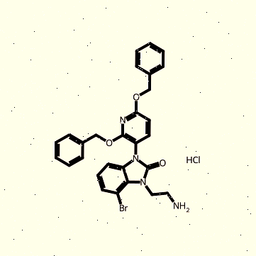 Cl.NCCn1c(=O)n(-c2ccc(OCc3ccccc3)nc2OCc2ccccc2)c2cccc(Br)c21